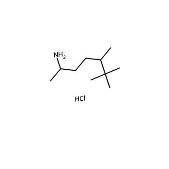 CC(N)CCC(C)C(C)(C)C.Cl